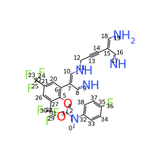 CN(C(=O)Oc1c(/C(C=N)=C/NCC#C/C(C=N)=C/N)cc(C(F)(F)F)cc1C(F)(F)F)c1ccc(F)cc1